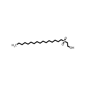 CCCCCCCCCCCCCCCCS(=O)(=O)CCO